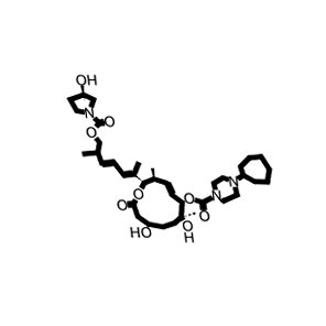 C/C(=C\C=C\C(C)COC(=O)N1CC[C@@H](O)C1)[C@H]1OC(=O)C[C@@H](O)CC[C@](C)(O)[C@@H](OC(=O)N2CCN(C3CCCCCC3)CC2)/C=C/[C@@H]1C